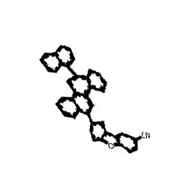 N#Cc1ccc2oc3ccc(-c4cc5c6ccccc6c(-c6cccc7ccccc67)cc5c5ccccc45)cc3c2c1